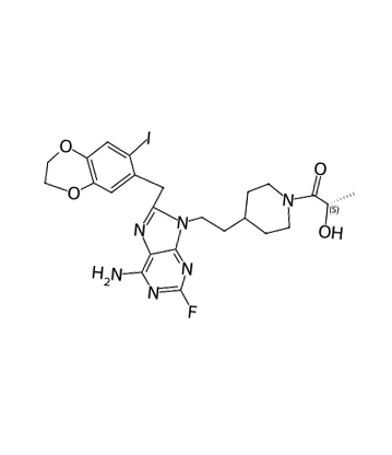 C[C@H](O)C(=O)N1CCC(CCn2c(Cc3cc4c(cc3I)OCCO4)nc3c(N)nc(F)nc32)CC1